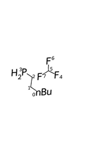 CCCCCCP.FC(F)F